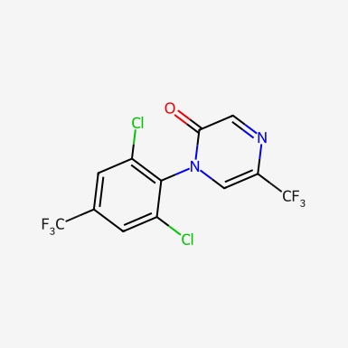 O=c1cnc(C(F)(F)F)cn1-c1c(Cl)cc(C(F)(F)F)cc1Cl